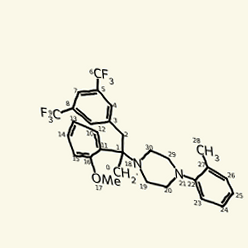 [CH2]C(Cc1cc(C(F)(F)F)cc(C(F)(F)F)c1)(c1ccccc1OC)N1CCN(c2ccccc2C)CC1